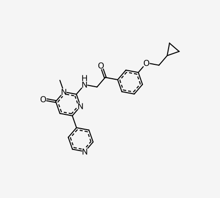 Cn1c(NCC(=O)c2cccc(OCC3CC3)c2)nc(-c2ccncc2)cc1=O